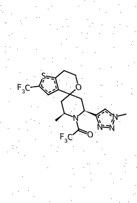 C[C@H]1CC2(C[C@@H](c3cn(C)nn3)N1C(=O)C(F)(F)F)OCCc1sc(C(F)(F)F)cc12